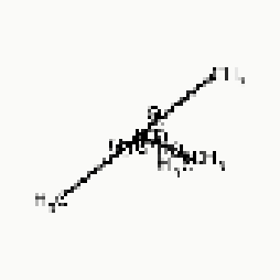 CCCCCCCCCCCCCCCC(=O)OCCCN(CCCOC(=O)CCCCCCCCCCCCCCC)C(=O)C=CC(=O)NCCOCCN(C)C